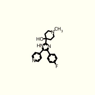 CN1CCC(O)(c2nc(-c3ccc(F)cc3)c(-c3ccncc3)[nH]2)CC1